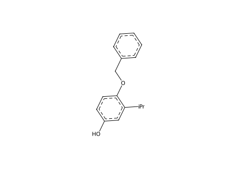 CC(C)c1cc(O)ccc1OCc1ccccc1